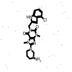 Cn1c(N2CCCC(N)C2)nc2c1c(=O)n(Cc1cc3c(Cl)cccc3[nH]1)c(=O)n2C